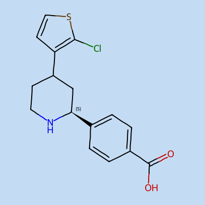 O=C(O)c1ccc([C@@H]2CC(c3ccsc3Cl)CCN2)cc1